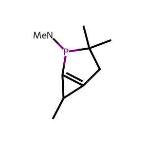 CNP1C2=C(CC1(C)C)C2C